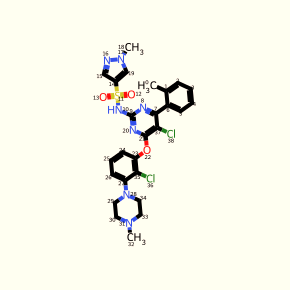 Cc1ccccc1-c1nc(NS(=O)(=O)c2cnn(C)c2)nc(Oc2cccc(N3CCN(C)CC3)c2Cl)c1Cl